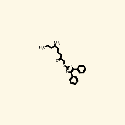 CCCC(C)CCCC(=O)CSc1nc(-c2ccccc2)c(-c2ccccc2)o1